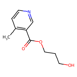 Cc1ccncc1C(=O)OCCCO